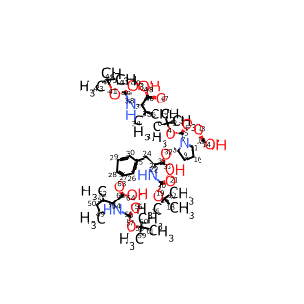 CC(C)(C)OC(=O)N1CCC[C@H]1C(=O)O.CC(C)(C)OC(=O)N[C@@H](Cc1ccccc1)C(=O)O.CC(C)[C@H](NC(=O)OC(C)(C)C)C(=O)O.CC[C@H](C)[C@H](NC(=O)OC(C)(C)C)C(=O)O